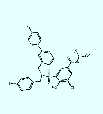 CC(C)NC(=O)c1cc(Cl)c(O)c(S(=O)(=O)N(Cc2ccc(F)cc2)Cc2cccc(-c3ccc(Cl)cc3)c2)c1